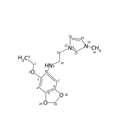 CCOc1cc2c(cc1NCC[n+]1ccn(C)c1)OCO2